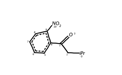 CC(C)CC(=O)c1ccccc1[N+](=O)[O-]